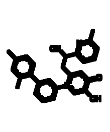 Cc1ccc(-c2cccc(-n3cc(O)c(=O)cc3CC(N=O)c3cccc(C)n3)c2)c(C)c1